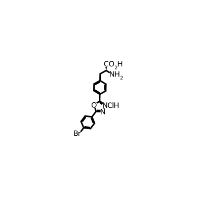 Cl.N[C@@H](Cc1ccc(-c2nnc(-c3ccc(Br)cc3)o2)cc1)C(=O)O